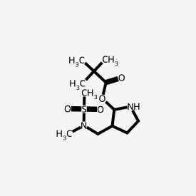 CN(CC1CCNC1OC(=O)C(C)(C)C)S(C)(=O)=O